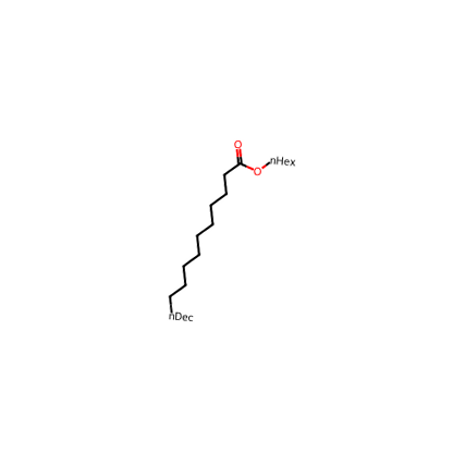 CCCCCCCCCCCCCCCCCCCC(=O)OCCCCCC